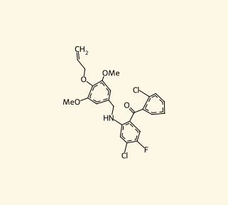 C=CCOc1c(OC)cc(CNc2cc(Cl)c(F)cc2C(=O)c2ccccc2Cl)cc1OC